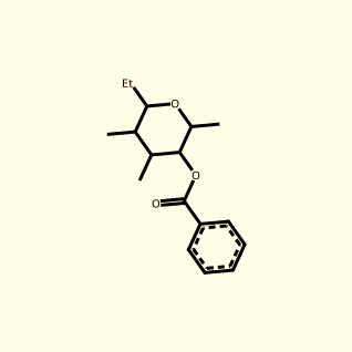 CCC1OC(C)C(OC(=O)c2ccccc2)C(C)C1C